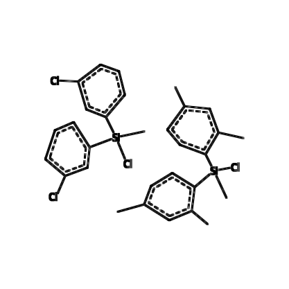 C[Si](Cl)(c1cccc(Cl)c1)c1cccc(Cl)c1.Cc1ccc([Si](C)(Cl)c2ccc(C)cc2C)c(C)c1